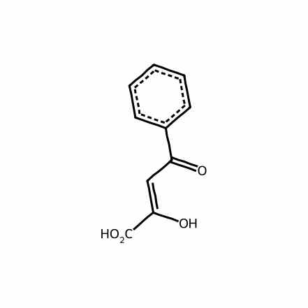 O=C(O)C(O)=CC(=O)c1ccccc1